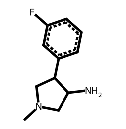 CN1CC(N)C(c2cccc(F)c2)C1